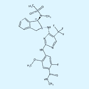 CNC(=O)c1cc(OC)c(Nc2ncc(C(F)(F)F)c(N[C@@H]3Cc4ccccc4[C@H]3N(C)S(C)(=O)=O)n2)cc1F